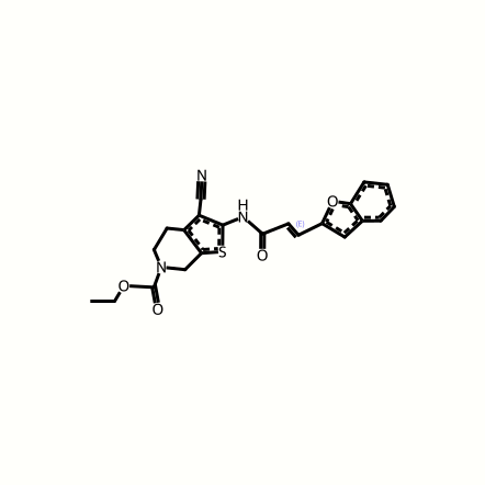 CCOC(=O)N1CCc2c(sc(NC(=O)/C=C/c3cc4ccccc4o3)c2C#N)C1